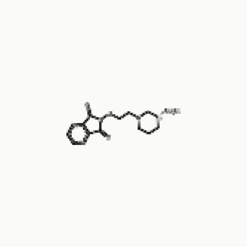 CCOC(=O)[C@@H]1CCCN(CCON2C(=O)c3ccccc3C2=O)C1